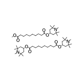 CN1C(C)(C)CC(OC(=O)CCCCCCCCC(=O)OC2CC(C)(C)N(C)C(C)(C)C2)CC1(C)C.COC(=O)CCCCCCCCC(=O)OC1CC(C)(C)N(C)C(C)(C)C1